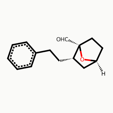 O=C[C@@]12CC[C@@H](C[C@@H]1CCc1ccccc1)O2